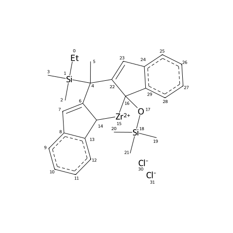 CC[Si](C)(C)C1(C)C2=Cc3ccccc3[CH]2[Zr+2][C]2(O[Si](C)(C)C)C1=Cc1ccccc12.[Cl-].[Cl-]